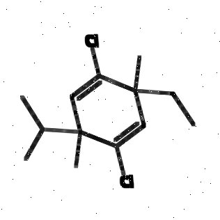 CCC1(C)C=C(Cl)C(C)(C(C)C)C=C1Cl